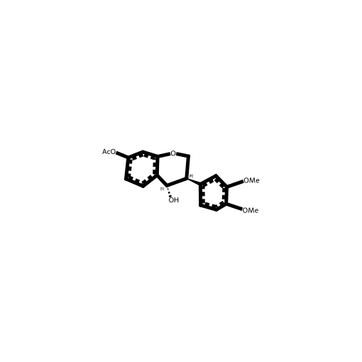 COc1ccc([C@@H]2COc3cc(OC(C)=O)ccc3[C@H]2O)cc1OC